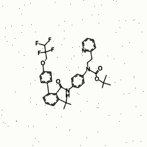 CC(C)(C)OC(=O)N(CCc1ccccn1)c1ccc(NC(=O)c2c(-c3ccc(OCC(F)(F)C(F)F)cc3)cccc2C(C)(C)C)cc1